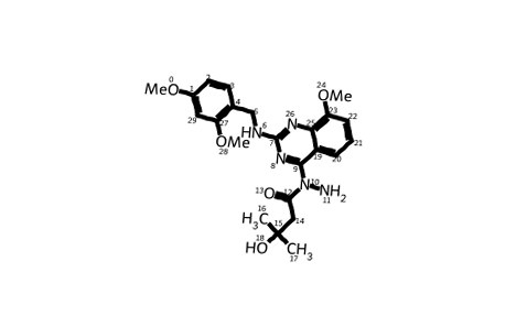 COc1ccc(CNc2nc(N(N)C(=O)CC(C)(C)O)c3cccc(OC)c3n2)c(OC)c1